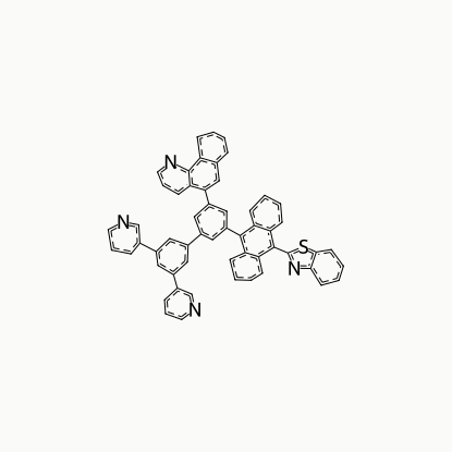 c1cncc(-c2cc(-c3cccnc3)cc(-c3cc(-c4c5ccccc5c(-c5nc6ccccc6s5)c5ccccc45)cc(-c4cc5ccccc5c5ncccc45)c3)c2)c1